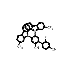 N#Cc1ccc(-c2cc(-n3c4ccccc4c4ccc(C(F)(F)F)cc43)c(-n3c4ccccc4c4ccc(C(F)(F)F)cc43)cc2C#N)c(F)c1